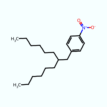 CCCCCCC(CCCCCC)Cc1ccc([N+](=O)[O-])cc1